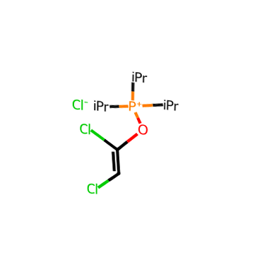 CC(C)[P+](OC(Cl)=CCl)(C(C)C)C(C)C.[Cl-]